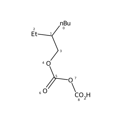 CCCCC(CC)COC(=O)OC(=O)O